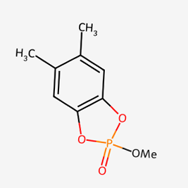 COP1(=O)Oc2cc(C)c(C)cc2O1